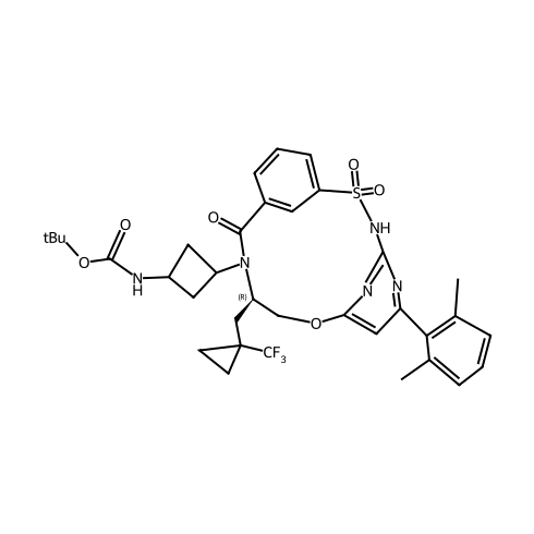 Cc1cccc(C)c1-c1cc2nc(n1)NS(=O)(=O)c1cccc(c1)C(=O)N(C1CC(NC(=O)OC(C)(C)C)C1)[C@H](CC1(C(F)(F)F)CC1)CO2